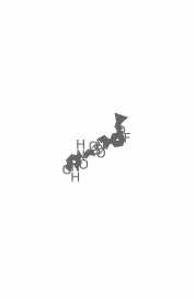 O=C1CCC(NCCCS(=O)(=O)N2CCC(c3ccc(F)c(OCC4CC4)c3)C2)C(=O)N1